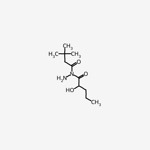 CCCC(O)C(=O)N(N)C(=O)CC(C)(C)C